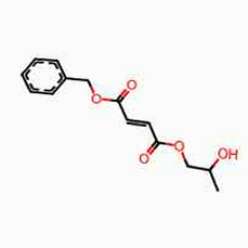 CC(O)COC(=O)C=CC(=O)OCc1ccccc1